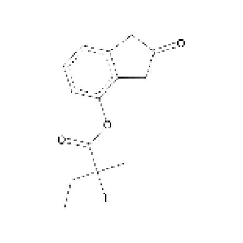 CCC(C)(I)C(=O)Oc1cccc2c1CC(=O)C2